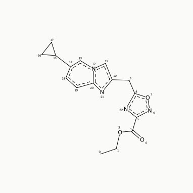 CCOC(=O)c1noc(Cc2cn3cc(C4CC4)ccc3n2)n1